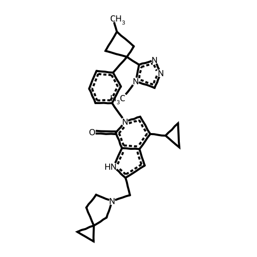 CC1CC(c2cccc(-n3cc(C4CC4)c4cc(CN5CCC6(CC6)C5)[nH]c4c3=O)c2)(c2nncn2C)C1